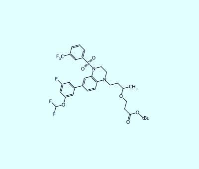 CC(CCN1CCN(S(=O)(=O)c2cccc(C(F)(F)F)c2)c2cc(-c3cc(F)cc(OC(F)F)c3)ccc21)OCCC(=O)OC(C)(C)C